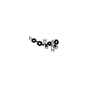 O=C(NCc1ccc(-c2ccc(F)cc2)cc1)c1ccc2c(c1)NC(=O)c1ccccc1S2